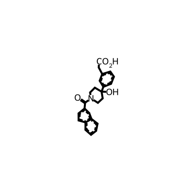 O=C(O)Cc1cccc(C2(O)CCN(C(=O)c3ccc4ccccc4c3)CC2)c1